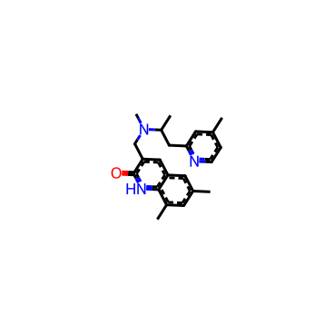 Cc1ccnc(CC(C)N(C)Cc2cc3cc(C)cc(C)c3[nH]c2=O)c1